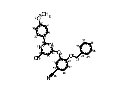 COc1ccc(-c2nc(Cl)cc(Oc3cc(C#N)ccc3OCc3ccccc3)n2)cc1